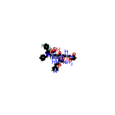 CC(C)(C)C(c1cc(-c2cc(F)ccc2F)cn1Cc1ccccc1)N(CC[C@H](NC(=O)[C@H](CC(N)=O)NC(=O)Cc1ccncc1)C(=O)NCCNC(=O)CN1C(=O)C=CC1=O)C(=O)CO